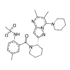 Cc1ccc(NS(C)(=O)=O)c(C(=O)N2CCCC[C@H]2c2cc3nc(C)c(C)c(N4CCCCC4)n3n2)c1